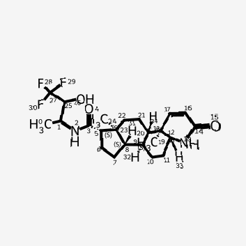 CC(NC(=O)[C@H]1CC[C@H]2[C@@H]3CC[C@H]4NC(=O)C=C[C@]4(C)[C@H]3CC[C@]12C)C(O)C(F)(F)F